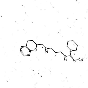 N#CN=C(NCCCNCC1CCc2ccccc2O1)N1CCCCC1